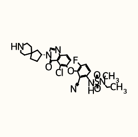 CCN(C)S(=O)(=O)Nc1ccc(F)c(Oc2ccc3ncn([C@@H]4CCC5(CCNCC5)C4)c(=O)c3c2Cl)c1C#N